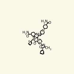 C[C@@H]1N=C(N2CCN(C(=O)C(CC3CCN(C4CCC(C(N)=O)CC4)CC3)NC3CCC(C(N)=O)CC3)[C@H](C(=O)NCc3cccs3)C2)O[C@H]1c1ccccc1